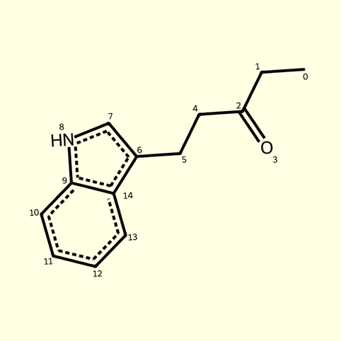 CCC(=O)CCc1c[nH]c2ccccc12